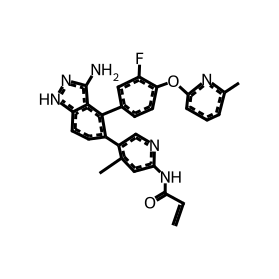 C=CC(=O)Nc1cc(C)c(-c2ccc3[nH]nc(N)c3c2-c2ccc(Oc3cccc(C)n3)c(F)c2)cn1